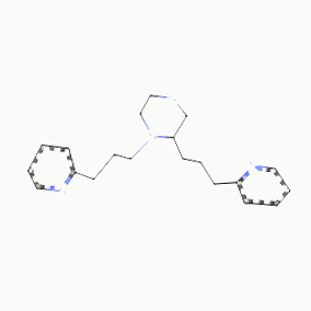 c1ccc(CCCC2CNCCN2CCCc2ccccn2)nc1